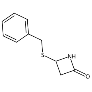 O=C1CC(SCc2ccccc2)N1